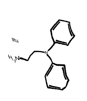 NCCN(c1ccccc1)c1ccccc1.[Ru]